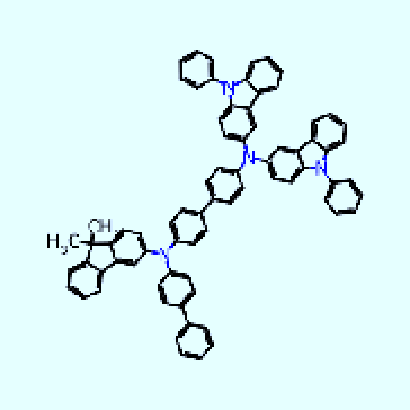 CC1(C)c2ccccc2-c2cc(N(c3ccc(-c4ccccc4)cc3)c3ccc(-c4ccc(N(c5ccc6c(c5)c5ccccc5n6-c5ccccc5)c5ccc6c(c5)c5ccccc5n6-c5ccccc5)cc4)cc3)ccc21